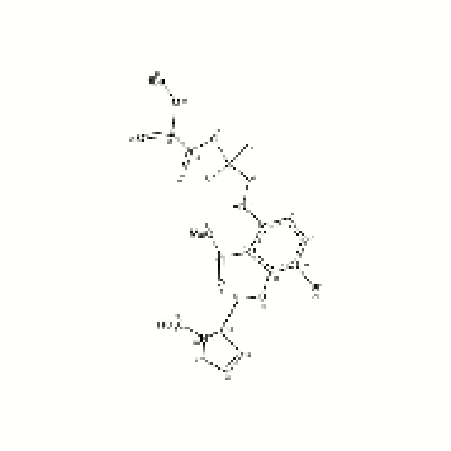 COC(=O)c1c(NCC(C)(C)OC(=O)C(=O)OC(C)(C)C)ccc(Br)c1OCC1C=CCN1C(=O)O